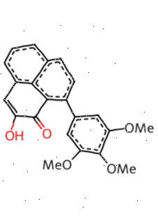 COc1cc(-c2ccc3cccc4c3c2C(=O)C(O)=C4)cc(OC)c1OC